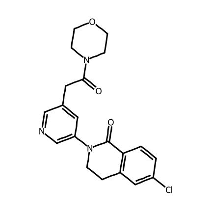 O=C(Cc1cncc(N2CCc3cc(Cl)ccc3C2=O)c1)N1CCOCC1